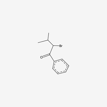 CC(C)C(Br)C(=O)c1ccccc1